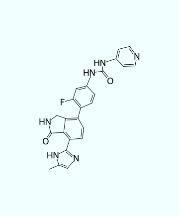 Cc1cnc(-c2ccc(-c3ccc(NC(=O)Nc4ccncc4)cc3F)c3c2C(=O)NC3)[nH]1